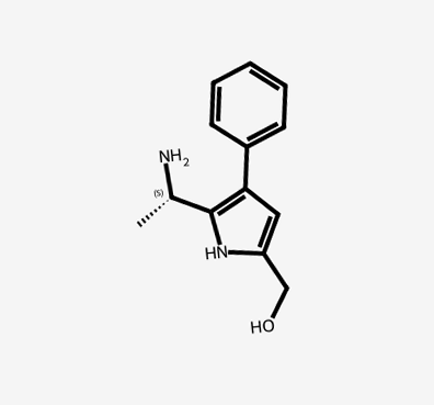 C[C@H](N)c1[nH]c(CO)cc1-c1ccccc1